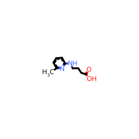 Cc1cccc(NCCCC(=O)O)n1